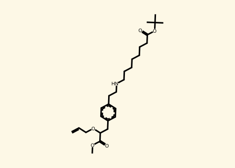 C=CCOC(Cc1ccc(CCNCCCCCCCC(=O)OC(C)(C)C)cc1)C(=O)OC